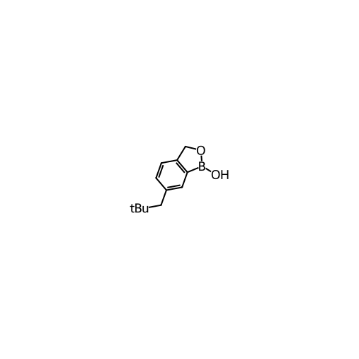 CC(C)(C)Cc1ccc2c(c1)B(O)OC2